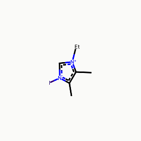 CC[n+]1cn(I)c(C)c1C